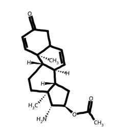 CC(=O)O[C@@H]1C[C@H]2[C@@H]3C=CC4CC(=O)C=C[C@]4(C)[C@H]3CC[C@]2(C)[C@H]1N